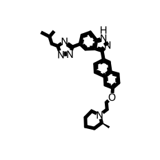 CC(C)CC1N=NC(c2ccc3[nH]nc(-c4ccc5cc(OCCN6CCCC[C@@H]6C)ccc5c4)c3c2)=N1